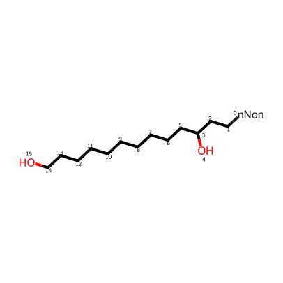 CCCCCCCCCCCC(O)CCCCCCCCCCO